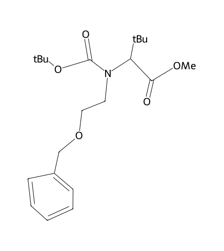 COC(=O)C(N(CCOCc1ccccc1)C(=O)OC(C)(C)C)C(C)(C)C